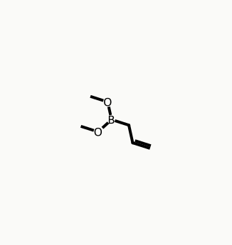 C=CCB(OC)OC